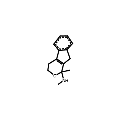 CNC1(C)OCCC2=C1Cc1ccccc12